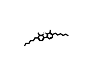 CCCCCCc1ccc2c(oc3c(C)c(CCCCCC)ccc32)c1C